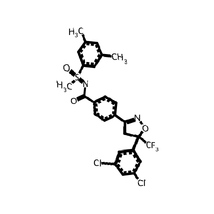 Cc1cc(C)cc(S(C)(=O)=NC(=O)c2ccc(C3=NOC(c4cc(Cl)cc(Cl)c4)(C(F)(F)F)C3)cc2)c1